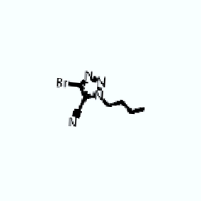 CCCCn1nnc(Br)c1C#N